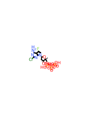 C[C@]1(COP(=O)(O)OP(=O)(O)OP(=O)(O)O)O[C@@H](n2cc(F)c3c(N)nc(Cl)nc32)C[C@@H]1O